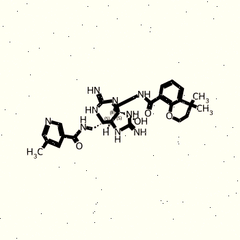 Cc1cncc(C(=O)NC[C@@H]2NC(=N)N3CC(NC(=O)c4cccc5c4OCCC5(C)C)[C@@H](O)[C@@]34NC(=N)N[C@@H]24)c1